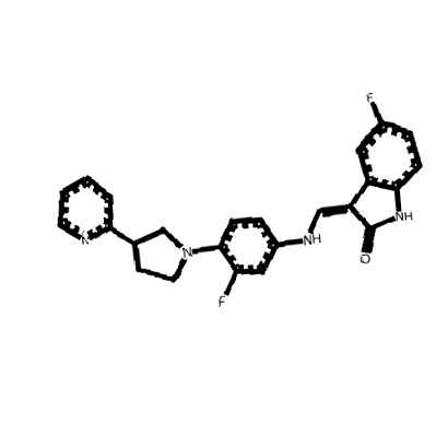 O=C1Nc2ccc(F)cc2C1=CNc1ccc(N2CCC(c3ccccn3)C2)c(F)c1